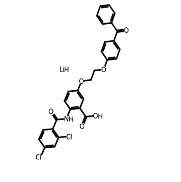 O=C(c1ccccc1)c1ccc(OCCOc2ccc(NC(=O)c3ccc(Cl)cc3Cl)c(C(=O)O)c2)cc1.[LiH]